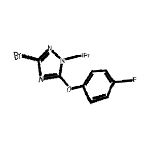 CC(C)n1nc(Br)nc1Oc1ccc(F)cc1